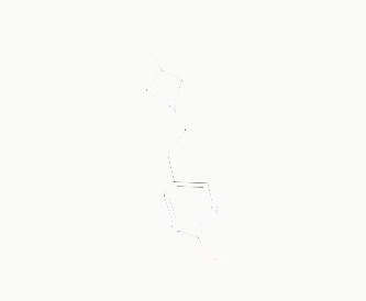 Oc1ncc(CCN2CC(F)C2)cn1